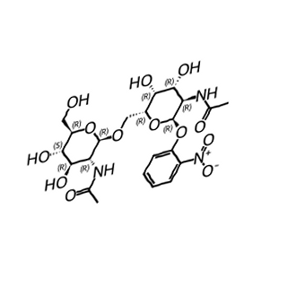 CC(=O)N[C@H]1[C@@H](Oc2ccccc2[N+](=O)[O-])O[C@H](CO[C@@H]2O[C@H](CO)[C@@H](O)[C@H](O)[C@H]2NC(C)=O)[C@H](O)[C@@H]1O